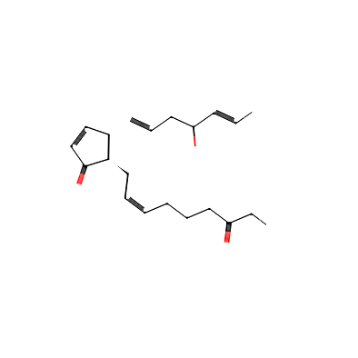 CCCCC=CC(O)C/C=C/[C@H]1C=CC(=O)[C@@H]1C/C=C\CCCC(=O)COC(C)=O